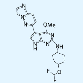 COc1nc(NC2CCC(OC(F)F)CC2)nc2[nH]cc(-c3ccc4nccn4n3)c12